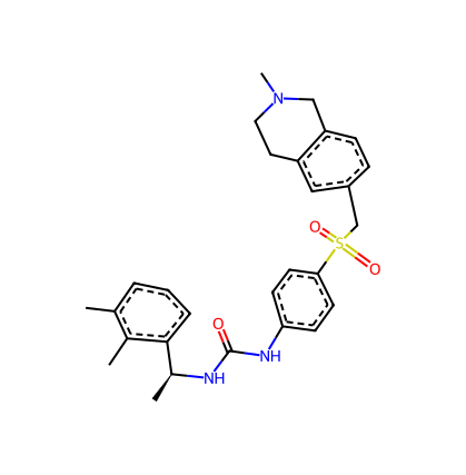 Cc1cccc([C@H](C)NC(=O)Nc2ccc(S(=O)(=O)Cc3ccc4c(c3)CCN(C)C4)cc2)c1C